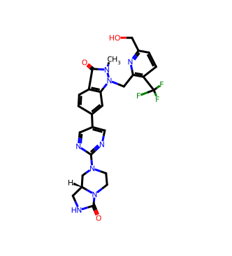 Cn1c(=O)c2ccc(-c3cnc(N4CCN5C(=O)NC[C@@H]5C4)nc3)cc2n1Cc1nc(CO)ccc1C(F)(F)F